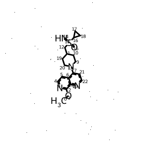 COc1nccc2c(N3CCC(CS(=N)(=O)C4CC4)CC3)ccnc12